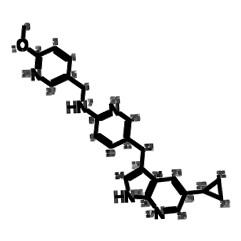 COc1ccc(CNc2ccc(Cc3c[nH]c4ncc(C5CC5)cc34)cn2)cn1